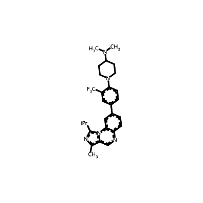 Cc1nc(C(C)C)n2c1cnc1ccc(-c3ccc(N4CCC(N(C)C)CC4)c(C(F)(F)F)c3)cc12